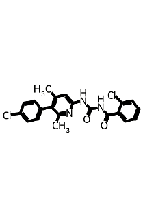 Cc1cc(NC(=O)NC(=O)c2ccccc2Cl)nc(C)c1-c1ccc(Cl)cc1